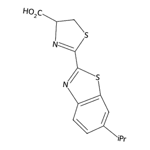 CC(C)c1ccc2nc(C3=NC(C(=O)O)CS3)sc2c1